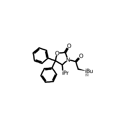 CC[C@H](C)CC(=O)N1C(=O)OC(c2ccccc2)(c2ccccc2)C1C(C)C